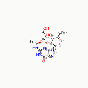 [2H]C[C@H]1OC[C@@H](n2cnc3c(=O)[nH]c(NC(=O)C(C)C)nc32)[C@H](OCCCO)[C@@H]1O